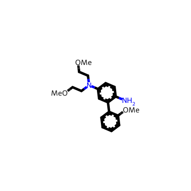 COCCN(CCOC)c1ccc(N)c(-c2ccccc2OC)c1